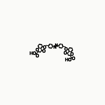 O=C(O)c1cc(=O)c2c(OCc3ccc(/N=N/c4ccc(COc5cccc6oc(C(=O)O)cc(=O)c56)cc4)cc3)cccc2o1